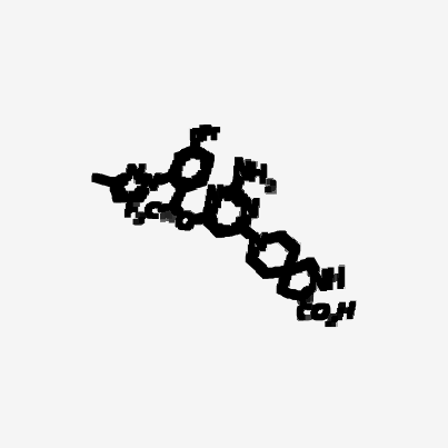 CCCc1ccc([C@@H](Oc2cc(N3CCC4(CC3)CN[C@H](C(=O)O)C4)nc(N)n2)C(F)(F)F)c(-n2ccc(C)n2)c1